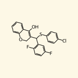 OC1=C(C(Sc2ccc(Cl)cc2)c2cc(F)ccc2F)COc2ccccc21